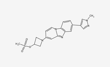 Cn1cc(-c2ccc3c(c2)nc2cc(N4CC(OS(C)(=O)=O)C4)ccn23)cn1